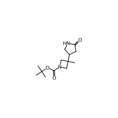 CC(C)(C)OC(=O)N1CC(C)(C2CNC(=O)C2)C1